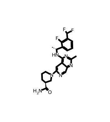 Cc1nc(N[C@H](C)c2cccc(C(F)F)c2F)c2cc(N3CCC[C@H](C(N)=O)C3)ncc2n1